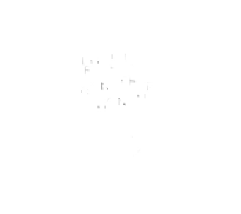 CCOC(C)N(CCc1ccccc1)C(=O)N(C[C@@H](C)O)C(=O)CC